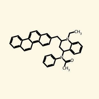 CCN1c2ccccc2C(N(C(C)=O)c2ccccc2)CC1Cc1ccc2c(ccc3c4ccccc4ccc23)c1